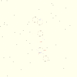 CCn1cc(OC(=O)Nc2ccc(Oc3ccnc4cc(OC)c(OC)cc34)c(OC)c2)c(=O)n(-c2ccc(F)cc2)c1=O